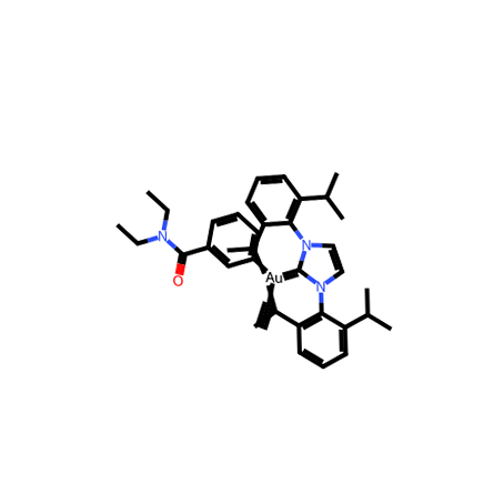 C#[C][Au]([c]1cccc(C(=O)N(CC)CC)c1)=[c]1n(-c2c(C(C)C)cccc2C(C)C)ccn1-c1c(C(C)C)cccc1C(C)C